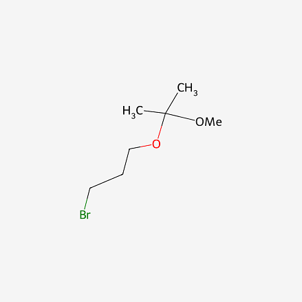 COC(C)(C)OCCCBr